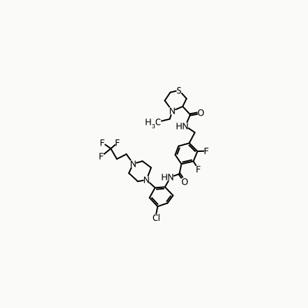 CCN1CCSCC1C(=O)NCc1ccc(C(=O)Nc2ccc(Cl)cc2N2CCN(CCC(F)(F)F)CC2)c(F)c1F